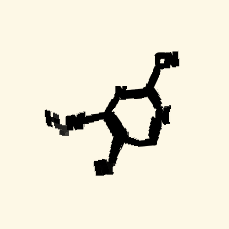 N#Cc1ncc(Br)c(N)n1